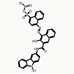 CCN(CC)OS(=O)(=O)c1ccc(/N=N/c2c(O)c(C(=O)Nc3ccc4c(c3)c3ccccc3n4CC)cc3ccccc23)c2ccccc12